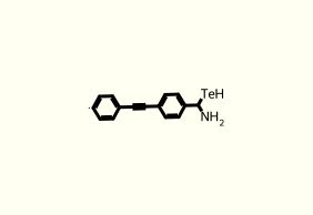 NC([TeH])c1ccc(C#Cc2cc[c]cc2)cc1